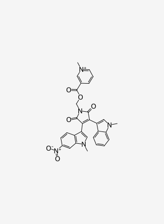 Cn1cc(C2=C(c3cn(C)c4cc([N+](=O)[O-])ccc34)C(=O)N(COC(=O)c3ccc[n+](C)c3)C2=O)c2ccccc21